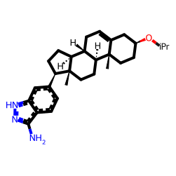 CC(C)O[C@H]1CC[C@@]2(C)C(=CC[C@H]3[C@@H]4CC[C@H](c5ccc6c(N)n[nH]c6c5)[C@@]4(C)CC[C@@H]32)C1